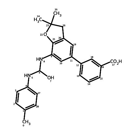 Cc1ccc(NC(O)Nc2cc(-c3cccc(C(=O)O)c3)cc3c2OC(C)(C)C3)cc1